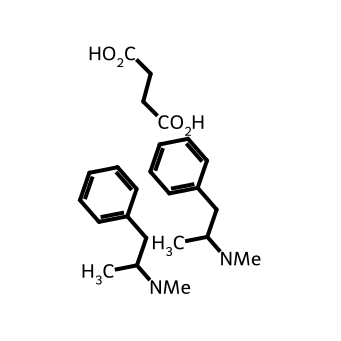 CNC(C)Cc1ccccc1.CNC(C)Cc1ccccc1.O=C(O)CCC(=O)O